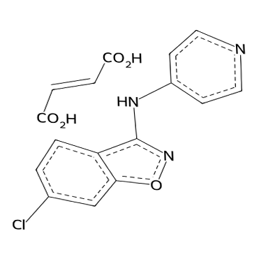 Clc1ccc2c(Nc3ccncc3)noc2c1.O=C(O)C=CC(=O)O